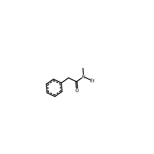 CCN(C)C(=O)[CH]c1ccccc1